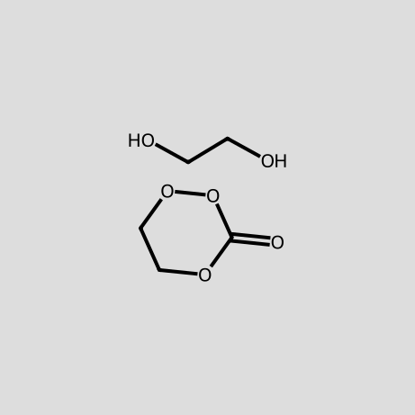 O=C1OCCOO1.OCCO